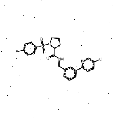 O=C(NCc1cccc(-c2ccc(Cl)cn2)c1)[C@@H]1CCCN1S(=O)(=O)c1ccc(F)cc1